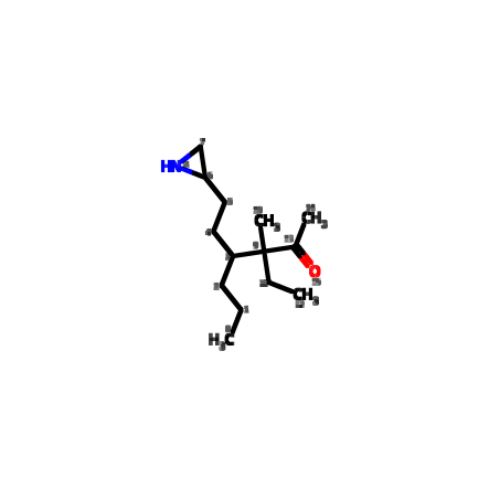 CCCC(CCC1CN1)C(C)(CC)C(C)=O